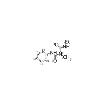 CCNC(=O)N(C)C(=O)Nc1ccccc1